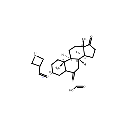 C[C@]12CC[C@@H](/C=C\C3CNC3)CC1C(=O)C[C@@H]1[C@@H]2CC[C@]2(C)C(=O)CC[C@@H]12.O=CO